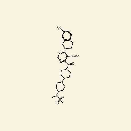 COc1c(C(=O)N2CCC(N3CCC(N(C)S(C)(=O)=O)CC3)CC2)ncnc1N1CCc2ccc(C(F)(F)F)cc2C1